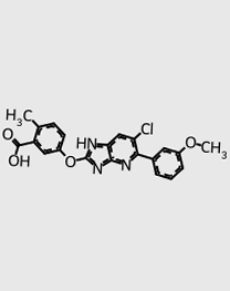 COc1cccc(-c2nc3nc(Oc4ccc(C)c(C(=O)O)c4)[nH]c3cc2Cl)c1